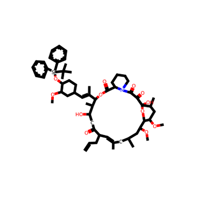 C=CCC1/C=C(\C)CC(C)CC(OC)C2OC(O)(C(=O)C(=O)N3CCCCC3C(=O)OC(C(C)=CC3CCC(O[Si](c4ccccc4)(c4ccccc4)C(C)(C)C)C(OC)C3)C(C)C(O)CC1=O)C(C)CC2OC